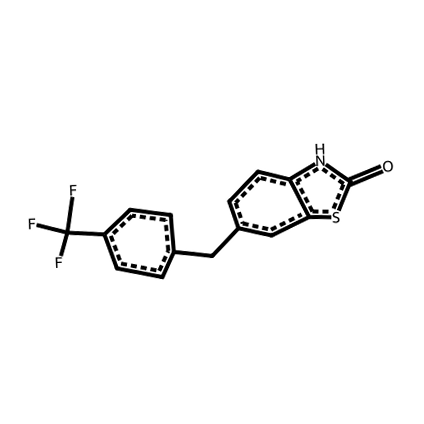 O=c1[nH]c2ccc(Cc3ccc(C(F)(F)F)cc3)cc2s1